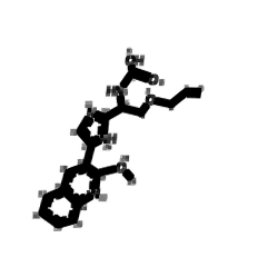 C=CCOCC(NC(=O)O)c1ncc(-c2cc3ccccc3nc2OC)[nH]1